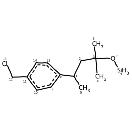 CC(CC(C)(C)O[SiH3])c1ccc(CCl)cc1